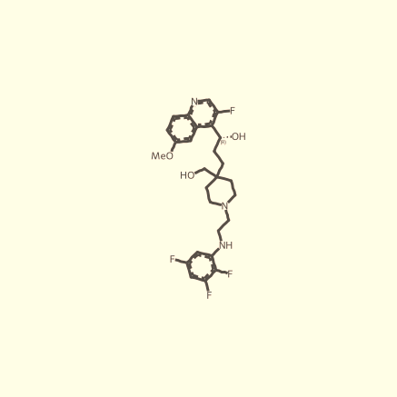 COc1ccc2ncc(F)c([C@H](O)CCC3(CO)CCN(CCNc4cc(F)cc(F)c4F)CC3)c2c1